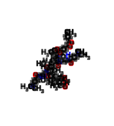 CCOC(=O)C(C(CC(C)(C)C1C(=O)OC(=O)C1C)C(=O)O)C(C)(C)CC1C(=O)N(CCCNC(=O)c2ccc(N(C)C)cc2)C(=O)C1C(C)(C)CC(C(=O)O)C(C(=O)NCCCNC(=O)c1ccc(N(C)C)cc1)C(C)(C)CC(C(=O)O)C(C(=O)Oc1ccc(C(=O)CC(=O)c2ccc(C)cc2)cc1)C(C)(C)CC